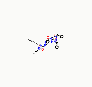 CCCCCCCCCC(=O)N[C@@H](CNCc1ccc(C(=O)N2C[C@@H](C(=O)N[C@H]3C[C@@H]3c3ccccc3)[C@H](C(=O)N[C@H]3C[C@@H]3c3ccccc3)C2)cc1)C(=O)NCCCCCC